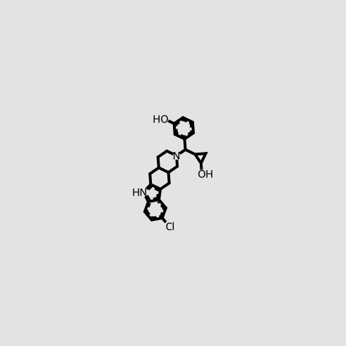 Oc1cccc(C(C2CC2O)N2CCC3Cc4[nH]c5ccc(Cl)cc5c4CC3C2)c1